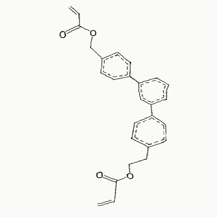 C=CC(=O)OCCc1ccc(-c2cccc(-c3ccc(COC(=O)C=C)cc3)c2)cc1